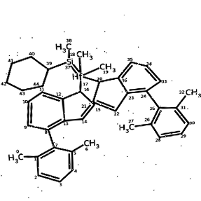 Cc1cccc(C)c1-c1cccc2c1C=C[CH]2[Hf]([CH3])([CH3])([CH]1C=Cc2c(-c3c(C)cccc3C)cccc21)=[Si](C)C1CCCCC1